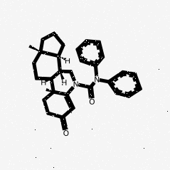 C[C@@]12CCC[C@H]1[C@@H]1CN(C(=O)N(c3ccccc3)c3ccccc3)C3=CC(=O)CC[C@]3(C)[C@H]1CC2